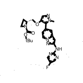 Cn1ncc(OC[C@H]2CCN2C(=O)OC(C)(C)C)c1-c1ccn2nc(Nc3ncc(F)cn3)cc2c1